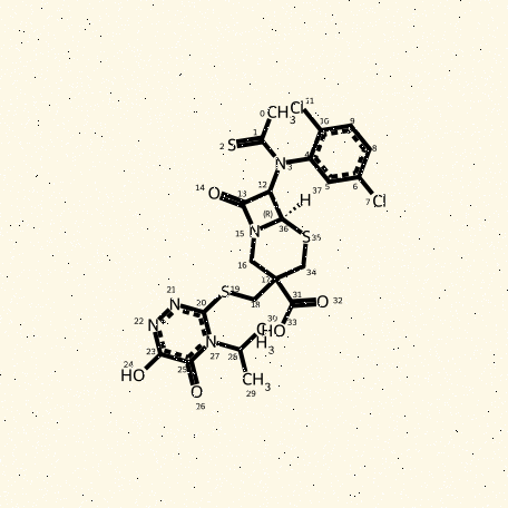 CC(=S)N(c1cc(Cl)ccc1Cl)C1C(=O)N2CC(CSc3nnc(O)c(=O)n3C(C)C)(C(=O)O)CS[C@H]12